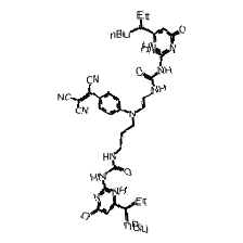 CCCCC(CC)c1cc(=O)nc(NC(=O)NCCCN(CCNC(=O)Nc2nc(=O)cc(C(CC)CCCC)[nH]2)c2ccc(C(C#N)=C(C#N)C#N)cc2)[nH]1